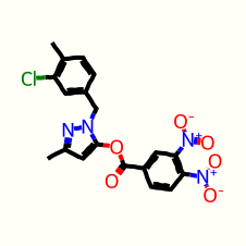 Cc1cc(OC(=O)c2ccc([N+](=O)[O-])c([N+](=O)[O-])c2)n(Cc2ccc(C)c(Cl)c2)n1